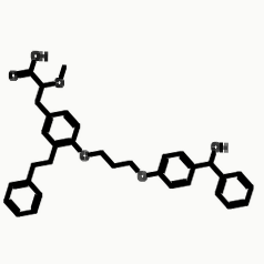 COC(Cc1ccc(OCCCOc2ccc(C(O)c3ccccc3)cc2)c(CCc2ccccc2)c1)C(=O)O